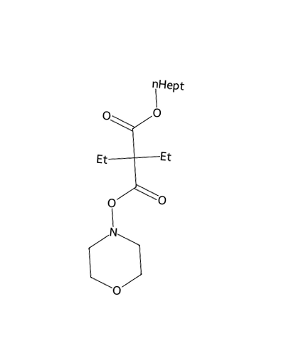 CCCCCCCOC(=O)C(CC)(CC)C(=O)ON1CCOCC1